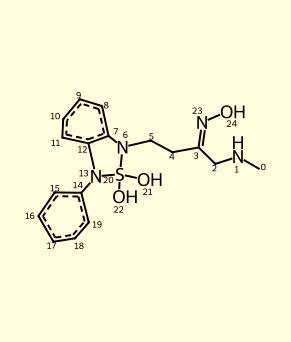 CNCC(CCN1c2ccccc2N(c2ccccc2)S1(O)O)=NO